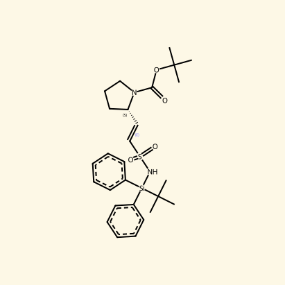 CC(C)(C)OC(=O)N1CCC[C@H]1/C=C/S(=O)(=O)N[Si](c1ccccc1)(c1ccccc1)C(C)(C)C